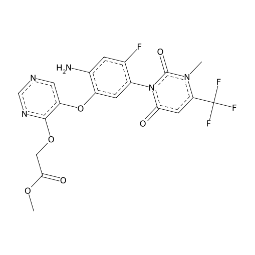 COC(=O)COc1ncncc1Oc1cc(-n2c(=O)cc(C(F)(F)F)n(C)c2=O)c(F)cc1N